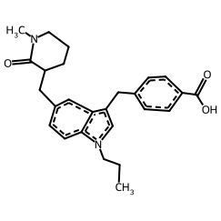 CCCn1cc(Cc2ccc(C(=O)O)cc2)c2cc(CC3CCCN(C)C3=O)ccc21